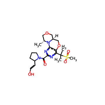 C[C@@H]1COC[C@H]2COc3c(nc(C(=O)N4CCCC4/C=C/O)nc3C(C)(C)S(C)(=O)=O)N21